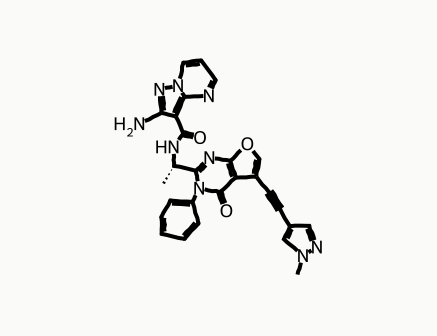 C[C@H](NC(=O)c1c(N)nn2cccnc12)c1nc2occ(C#Cc3cnn(C)c3)c2c(=O)n1-c1ccccc1